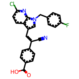 N#C/C(=C\c1cn(Cc2ccc(F)cc2)c2nc(Cl)ccc12)c1ccc(C(=O)O)cc1